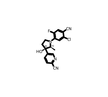 C[C@@H]1N(c2cc(Cl)c(C#N)cc2F)CC[C@@]1(O)c1ccc(C#N)nc1